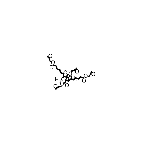 CC(CCCCCCC(=O)OCC1CO1)(C(=O)OCC1CO1)C(C)(CCCCCCC(=O)OCC1CO1)C(=O)OCC1CO1